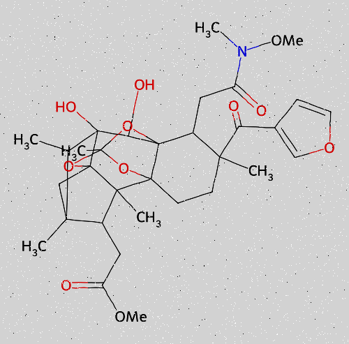 COC(=O)CC1C2(C)CC34OC5(C)OC6(C(CC(=O)N(C)OC)C(C)(C(=O)c7ccoc7)CCC6(O5)C13C)C(O)C4(O)C2C